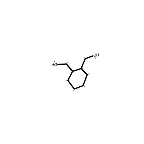 OCC1CCCCC1CO